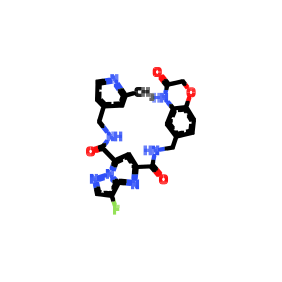 Cc1cc(CNC(=O)c2cc(C(=O)NCc3ccc4c(c3)NC(=O)CO4)nc3c(F)cnn23)ccn1